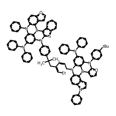 CC/C=C(\C=C/CN1c2cc(N(c3ccccc3)c3ccccc3)cc3c2B(c2ccoc2N3c2ccc(C(C)(C)C)cc2)c2c1ccc1c2ccn1-c1ccccc1)CC(C)(C)c1ccc(N2c3cc(N(c4ccccc4)c4ccccc4)cc4c3B(c3c(ccc5occc35)N4c3ccccc3)c3c2sc2ccccc32)cc1